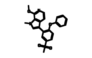 COc1nccc2c(-c3cc(S(C)(=O)=O)ccc3Oc3ccccc3)cn(C)c12